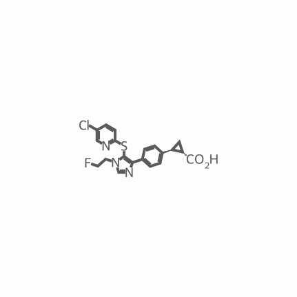 O=C(O)[C@H]1C[C@@H]1c1ccc(-c2ncn(CCF)c2Sc2ccc(Cl)cn2)cc1